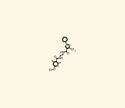 CCOc1cc(C)c(C(=O)NCCNC(=O)c2cn(-c3ccccc3)nc2C(F)(F)F)c(C)n1